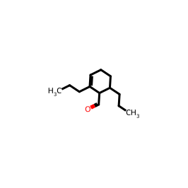 CCCC1=CCCC(CCC)C1C=O